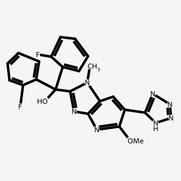 COc1nc2nc(C(O)(c3ccccc3F)c3ccccc3F)n(C)c2cc1-c1nnn[nH]1